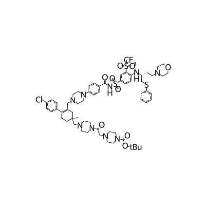 CC1(CN2CCN(C(=O)CN3CCN(C(=O)OC(C)(C)C)CC3)CC2)CCC(c2ccc(Cl)cc2)=C(CN2CCN(c3ccc(C(=O)NS(=O)(=O)c4ccc(N[C@H](CCN5CCOCC5)CSc5ccccc5)c(S(=O)(=O)C(F)(F)F)c4)cc3)CC2)C1